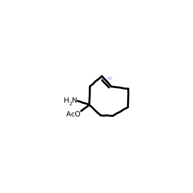 CC(=O)OC1(N)C/C=C/CCCC1